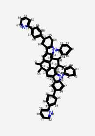 CC1c2cc3c4c(n(-c5ccccc5)c3c3c2-c2c(cc5c6cc(-c7ccc(-c8ccccn8)cc7)ccc6n(-c6ccccc6)c5c2C(C)C3C)C1C)CCC(c1ccc(-c2ccccn2)cc1)=C4